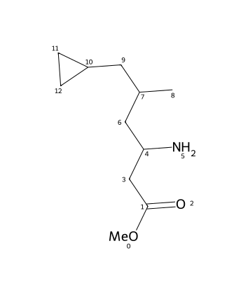 COC(=O)CC(N)CC(C)CC1CC1